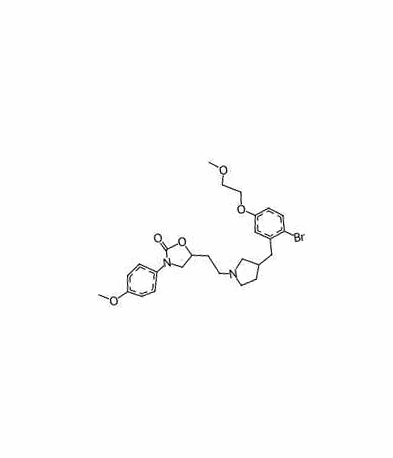 COCCOc1ccc(Br)c(CC2CCN(CCC3CN(c4ccc(OC)cc4)C(=O)O3)C2)c1